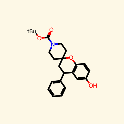 CC(C)(C)OC(=O)N1CCC2(CC1)CC(c1ccccc1)c1cc(O)ccc1O2